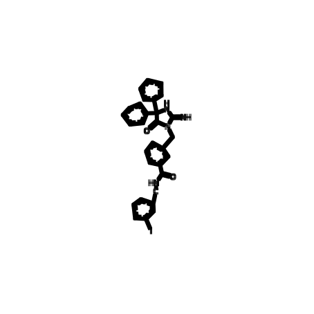 N=C1NC(c2ccccc2)(c2ccccc2)C(=O)N1Cc1cccc(C(=O)NCc2cccc(I)c2)c1